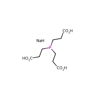 O=C(O)CCP(CCC(=O)O)CCC(=O)O.[NaH]